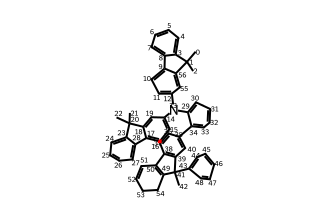 CC1(C)c2ccccc2-c2ccc(N(c3ccc4c(c3)C(C)(C)c3ccccc3-4)c3ccccc3-c3ccc4c(c3)C(C)(c3ccccc3)C3=C4C=CCC3)cc21